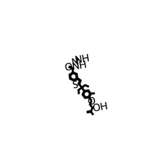 C=C(C)C(O)COc1ccc(C(CC)(CC)c2cc3cc(C(=O)NN=N)ccc3s2)cc1C